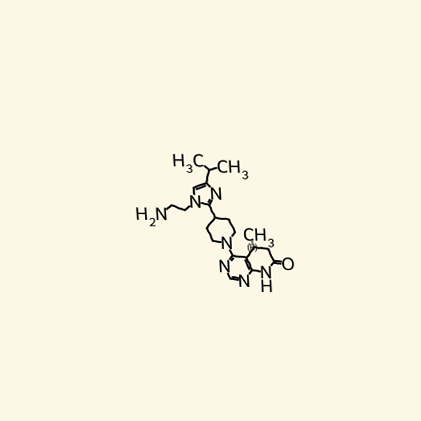 CC(C)c1cn(CCN)c(C2CCN(c3ncnc4c3[C@H](C)CC(=O)N4)CC2)n1